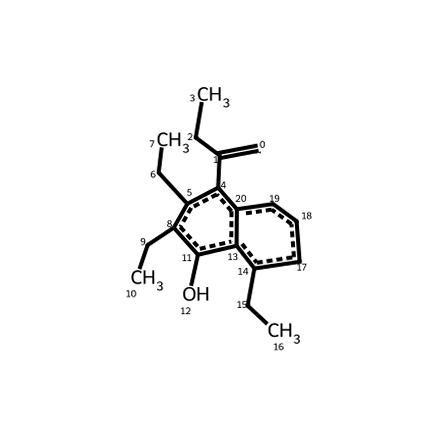 [C]=C(CC)c1c(CC)c(CC)c(O)c2c(CC)cccc12